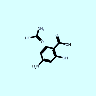 NC(=O)O.Nc1ccc(C(=O)O)c(O)c1